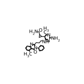 Cc1nc(N)nc(NCCCc2nc3cccc(C)c3c(=O)n2-c2ccccc2)c1C1CC1C(N)=O